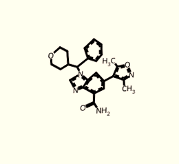 Cc1noc(C)c1-c1cc(C(N)=O)c2ncn(C(c3ccccc3)C3CCOCC3)c2c1